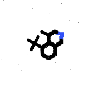 Cc1cncc2cccc(C(C)(C)C)c12